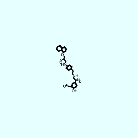 O=NCc1cc(C(CNCCc2ccc(NCC(COc3cccc4ccccc34)N=O)cc2)N=O)ccc1O